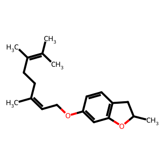 CC(=CCOc1ccc2c(c1)OC(C)C2)CCC(C)=C(C)C